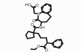 CCOC(=O)C(CCCC1(C(=O)NC2CCc3ccccc3N(CC(=O)O)C2=O)CCCC1)c1ccccc1